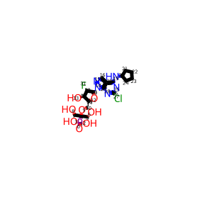 O=P(O)(O)C(CO)(CO)OC[C@H]1O[C@@H](n2ncc3c(NC4CCCC4)nc(Cl)nc32)[C@@H](F)[C@@H]1O